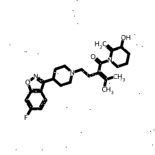 C=C1C(O)CCCN1C(=O)C(CCN1CCC(c2noc3cc(F)ccc23)CC1)=C(C)C